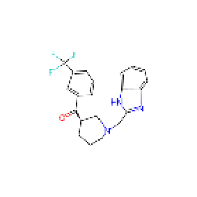 O=C(c1cccc(C(F)(F)F)c1)[C@@H]1CCCN(Cc2nc3ccccc3[nH]2)C1